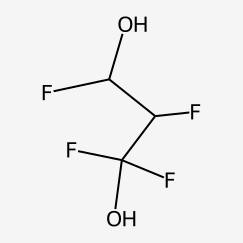 OC(F)C(F)C(O)(F)F